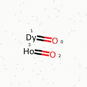 [O]=[Dy].[O]=[Ho]